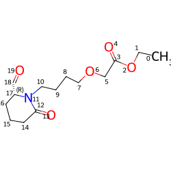 CCOC(=O)COCCCCN1C(=O)CCC[C@@H]1C=O